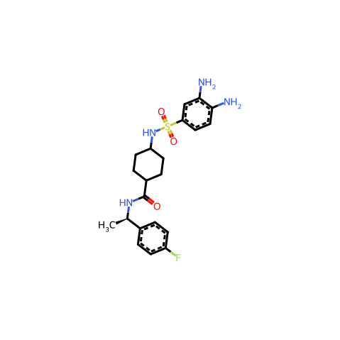 C[C@@H](NC(=O)C1CCC(NS(=O)(=O)c2ccc(N)c(N)c2)CC1)c1ccc(F)cc1